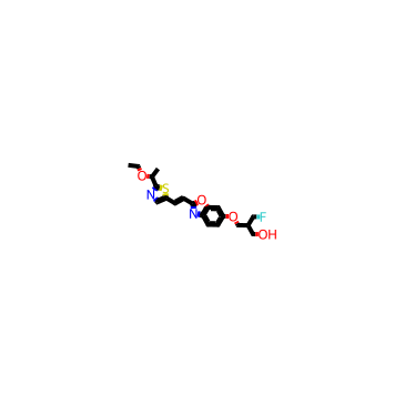 CCOC(C)c1ncc(/C=C/c2nc3ccc(OCC(CO)CF)cc3o2)s1